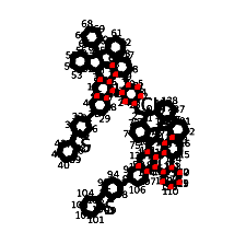 CC1(Cc2cccc(-c3ccccc3-c3ccccc3-c3ccccc3N(c3ccc(-c4ccc5c(c4)sc4ccccc45)cc3)c3ccc4c(c3)-c3ccccc3C4(c3ccccc3)c3ccccc3)c2)c2ccccc2C2(c3ccccc3-c3cc(N(c4ccc(-c5ccc6c(c5)sc5ccccc56)cc4)c4ccccc4-c4ccccc4-c4ccccc4-c4ccccc4)ccc32)c2ccccc21